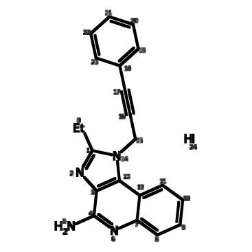 CCc1nc2c(N)nc3ccccc3c2n1CC#Cc1ccccc1.I